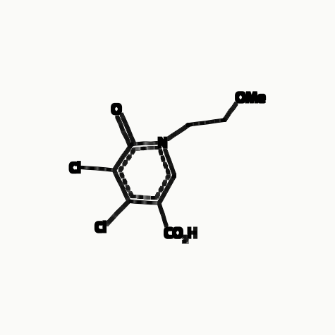 COCCn1cc(C(=O)O)c(Cl)c(Cl)c1=O